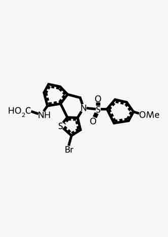 COc1ccc(S(=O)(=O)N2Cc3cccc(NC(=O)O)c3-c3sc(Br)cc32)cc1